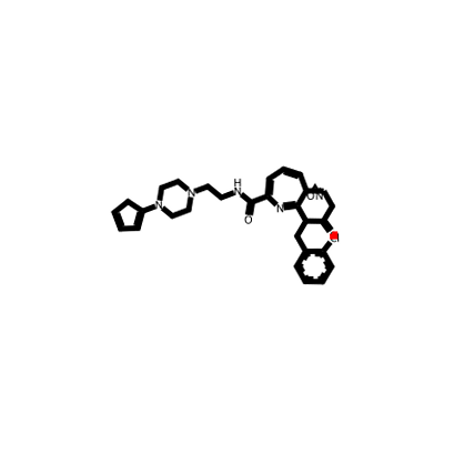 O=C(NCCN1CCN(C2=CC=CC2)CC1)C1=CC=CC23OCN=C2CC(=O)C(Cc2ccccc2Cl)C3=N1